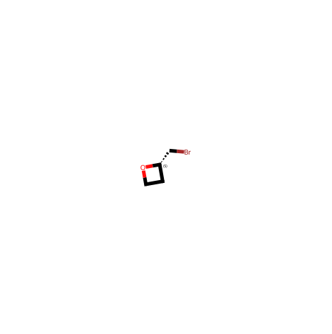 BrC[C@@H]1CCO1